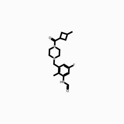 Cc1c(CN2CCN(C(=O)C3CC(C)C3)CC2)cc(F)cc1NC=O